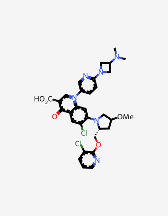 COC1C[C@H](COc2ncccc2Cl)N(c2cc3c(cc2Cl)c(=O)c(C(=O)O)cn3-c2ccc(N3CC(N(C)C)C3)nc2)C1